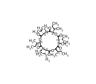 CCC(C)[C@H]1OC(=O)[C@H](C(C)C)N(C)C(=O)[C@@H]([C@@H](C)CC)OC(=O)[C@H](C(C)C)N(C)C(=O)[C@@H]([C@@H](C)CC)OC(=O)[C@H](C(C)C)N(C)C1=O